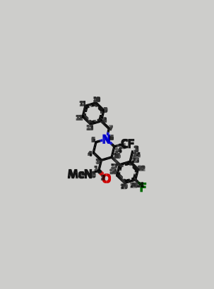 CNC(=O)C1CCN(Cc2ccccc2)C(C(F)(F)F)C1c1ccc(F)cc1C